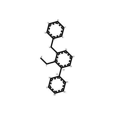 CCc1c(Cc2ccccc2)cccc1-c1ccccc1